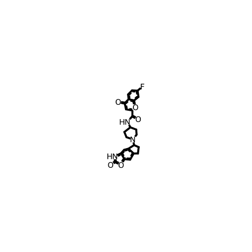 O=C(NC1CCN(C2CCc3cc4oc(=O)[nH]c4cc32)CC1)c1cc(=O)c2ccc(F)cc2o1